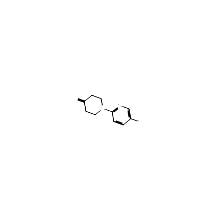 Nc1ccc(N2CCC(=O)CC2)nc1